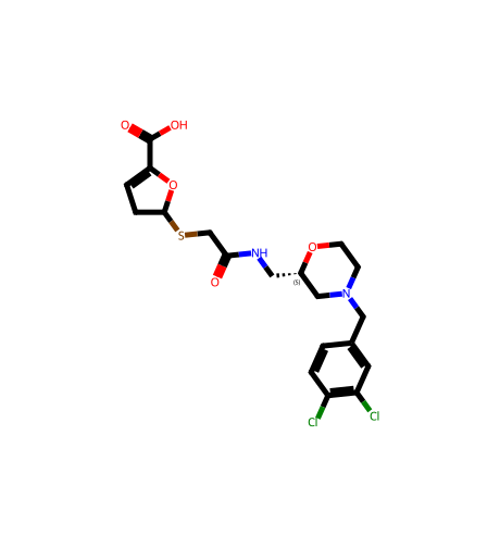 O=C(CSC1CC=C(C(=O)O)O1)NC[C@H]1CN(Cc2ccc(Cl)c(Cl)c2)CCO1